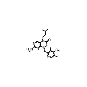 COc1c(C)cnc(CN2CC(=O)N(CCC(C)C)c3cnc(N)nc32)c1C